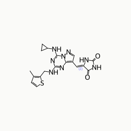 Cc1ccsc1CNc1nc(NC2CC2)n2ncc(/C=C3\NC(=O)NC3=O)c2n1